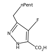 CCCCCCc1n[nH]c(C(=O)O)c1F